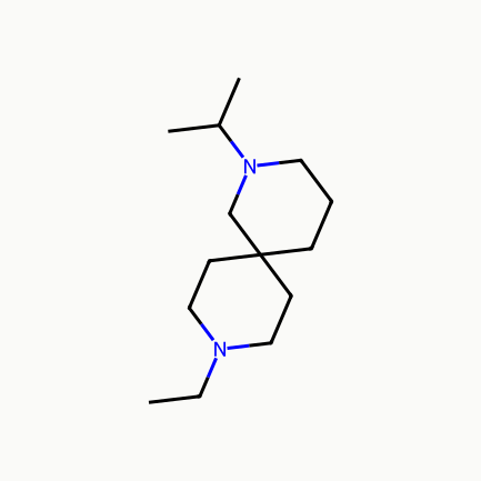 CCN1CCC2(CCCN(C(C)C)C2)CC1